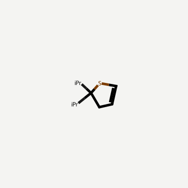 CC(C)C1(C(C)C)CC=CS1